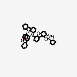 c1ccc(C2Nc3ccc4oc5c(N(c6ccc7oc8ccccc8c7c6)c6cccc7c8ccccc8n(-c8ccccc8)c67)cccc5c4c3O2)cc1